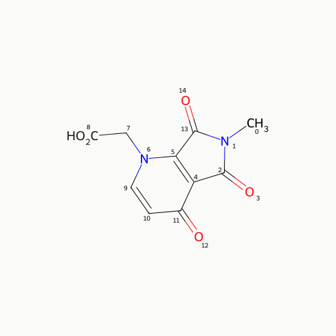 CN1C(=O)c2c(n(CC(=O)O)ccc2=O)C1=O